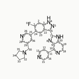 Fc1cc2[nH]nc(-c3nc4c(-c5ccncc5)nccc4[nH]3)c2cc1-c1cncc(CN2CCCC2)c1